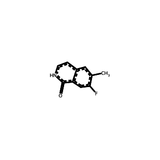 Cc1cc2cc[nH]c(=O)c2cc1F